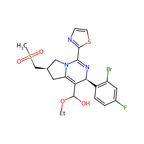 CCOC(O)C1=C2C[C@@H](CS(C)(=O)=O)CN2C(c2nccs2)=N[C@H]1c1ccc(F)cc1Br